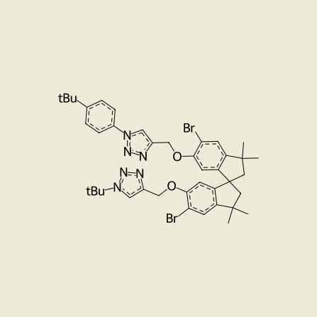 CC(C)(C)c1ccc(-n2cc(COc3cc4c(cc3Br)C(C)(C)CC43CC(C)(C)c4cc(Br)c(OCc5cn(C(C)(C)C)nn5)cc43)nn2)cc1